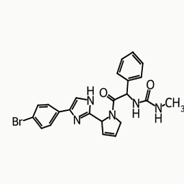 CNC(=O)NC(C(=O)N1CC=CC1c1nc(-c2ccc(Br)cc2)c[nH]1)c1ccccc1